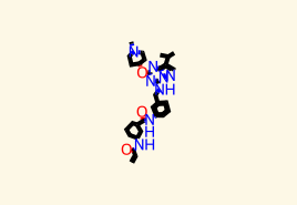 C=CC(=O)NC1CCCC(C(=O)Nc2cccc(CNc3nc(OC4CCN(C)CC4)nc4c(C(C)C)cnn34)c2)C1